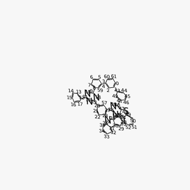 c1ccc(-c2cccc(-c3nc(-c4ccccc4)nc(-c4ccc(-n5c6ccccc6c6ccccc65)c(-c5nc(-c6ccccc6)c6sc7ccccc7c6n5)c4)n3)c2)cc1